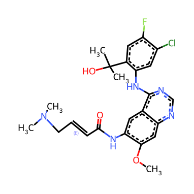 COc1cc2ncnc(Nc3cc(Cl)c(F)cc3C(C)(C)O)c2cc1NC(=O)/C=C/CN(C)C